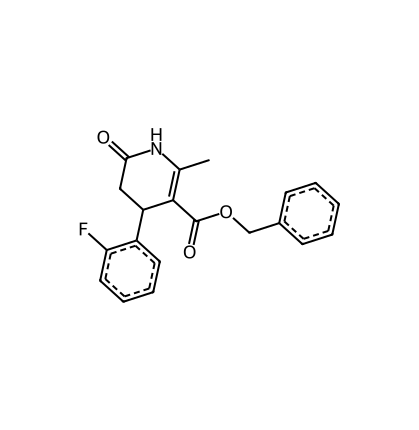 CC1=C(C(=O)OCc2ccccc2)C(c2ccccc2F)CC(=O)N1